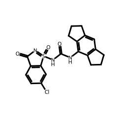 O=C(Nc1c2c(cc3c1CCC3)CCC2)NS1(=O)=NC(=O)c2ccc(Cl)cc21